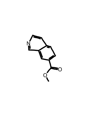 COC(=O)c1ccc2ccncc2c1